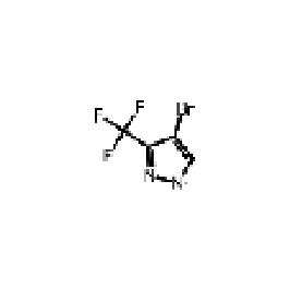 FC(F)(F)C1=N[N]C=C1Br